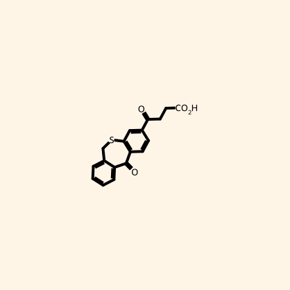 O=C(O)CCC(=O)c1ccc2c(c1)SCc1ccccc1C2=O